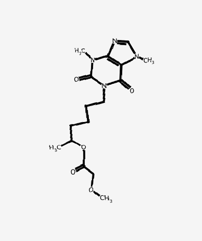 COCC(=O)OC(C)CCCCn1c(=O)c2c(ncn2C)n(C)c1=O